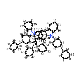 c1ccc(-c2ccc(-n3c4ccccc4c4cc(-n5c6ccccc6c6cc(-c7ccccc7)cc([Si](c7ccccc7)(c7ccccc7)c7ccccc7)c65)ccc43)cc2)cc1